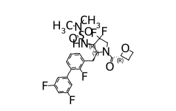 CN(C)S(=O)(=O)N[C@@H]1[C@H](Cc2cccc(-c3cc(F)cc(F)c3)c2F)N(C(=O)[C@H]2CCO2)CC1(F)F